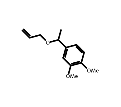 C=CCOC(C)c1ccc(OC)c(OC)c1